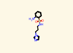 Nc1ccccc1S(=O)(=O)NCCCn1ccnc1